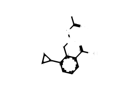 CC(=O)NOCc1c(C(=O)O)cccc1C1CC1